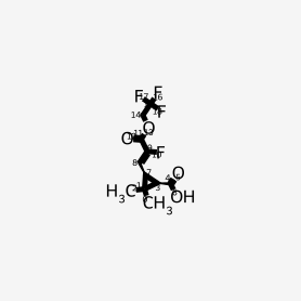 CC1(C)[C@H](C(=O)O)[C@@H]1C=C(F)C(=O)OCC(F)(F)F